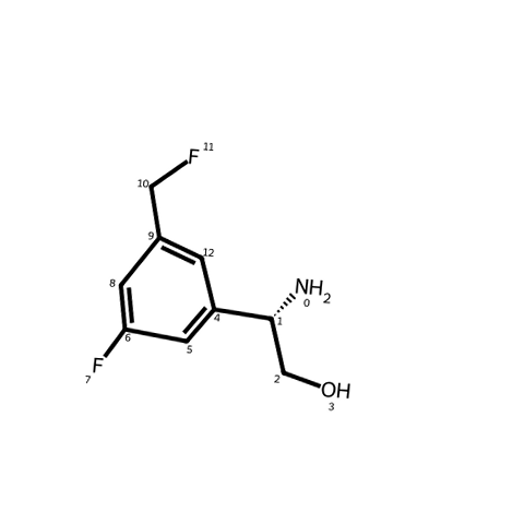 N[C@H](CO)c1cc(F)cc(CF)c1